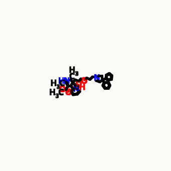 COC(=O)C1=C(C)NC(C)C(CCCOCCCN2CCC(c3ccccc3)(c3ccccc3)CC2)(C(=O)O)C1c1ccccn1